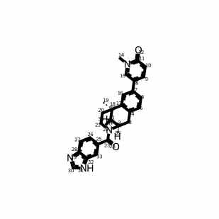 C[C@@H]1[C@H]2Cc3ccc(-c4ccc(=O)n(C)c4)cc3[C@]1(C)CCN2C(=O)c1ccc2nc[nH]c2c1